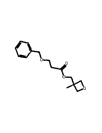 CC1(COC(=O)CCOCc2ccccc2)COC1